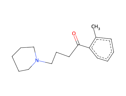 Cc1ccccc1C(=O)CCCN1CCCCC1